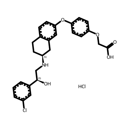 Cl.O=C(O)COc1ccc(Oc2ccc3c(c2)C[C@@H](NC[C@@H](O)c2cccc(Cl)c2)CC3)cc1